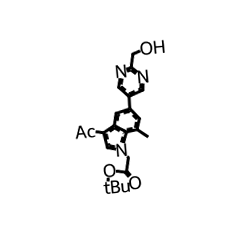 CC(=O)c1cn(CC(=O)OC(C)(C)C)c2c(C)cc(-c3cnc(CO)nc3)cc12